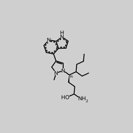 CCCC(CC)[C@@H](CCC(N)O)N1C=C(c2ccnc3[nH]ccc23)CN1C